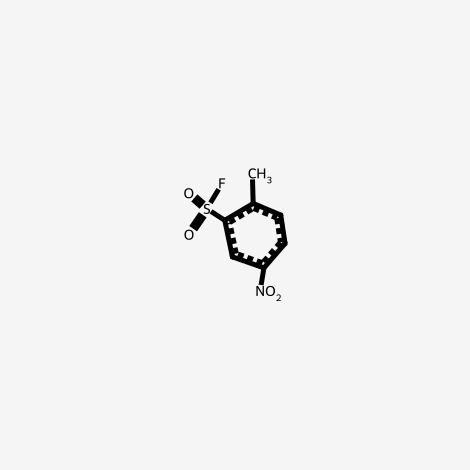 Cc1ccc([N+](=O)[O-])cc1S(=O)(=O)F